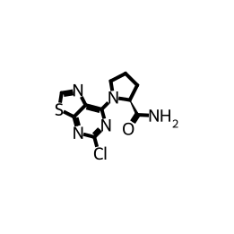 NC(=O)[C@@H]1CCCN1c1nc(Cl)nc2scnc12